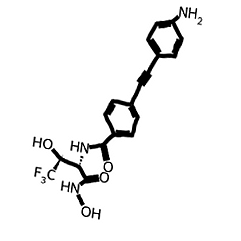 Nc1ccc(C#Cc2ccc(C(=O)N[C@H](C(=O)NO)[C@H](O)C(F)(F)F)cc2)cc1